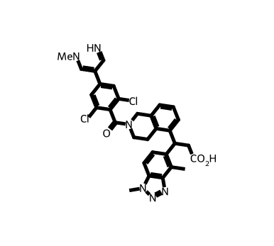 CN/C=C(\C=N)c1cc(Cl)c(C(=O)N2CCc3c(cccc3C(CC(=O)O)c3ccc4c(nnn4C)c3C)C2)c(Cl)c1